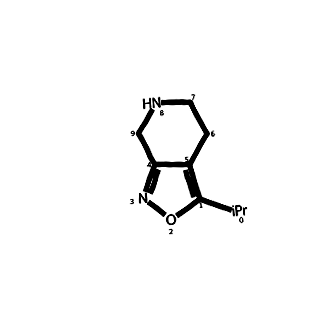 CC(C)c1onc2c1CCNC2